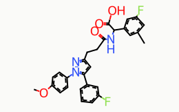 COc1ccc(-n2nc(CCC(=O)NC(C(=O)O)c3cc(C)cc(F)c3)cc2-c2cccc(F)c2)cc1